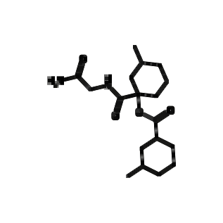 CC1CCCC(C(=O)OC2(C(=O)NCC(N)=O)CCCC(C)C2)C1